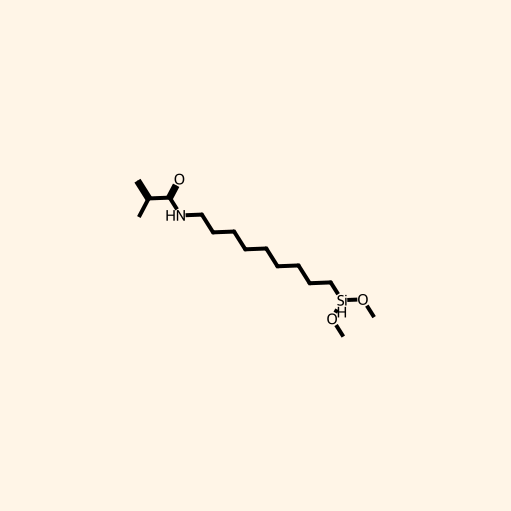 C=C(C)C(=O)NCCCCCCCCC[SiH](OC)OC